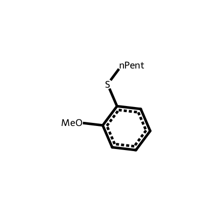 CCCCCSc1ccccc1OC